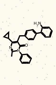 Cc1nc(C2CC2)c(Cc2ccc(-c3ccccc3N)cc2)c(=O)n1-c1ccccc1